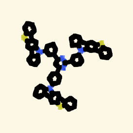 c1cc(-c2cc(-c3ccc(-n4c5ccccc5c5cc6sc7ccccc7c6cc54)cc3)nc(-c3cccc(-n4c5ccccc5c5cc6sc7ccccc7c6cc54)c3)n2)cc(-n2c3ccccc3c3cc4sc5ccccc5c4cc32)c1